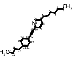 CCCCCCCc1ccc(C#Cc2ccc(CCCC)cc2)nc1